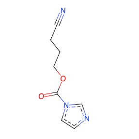 N#CCCCOC(=O)n1ccnc1